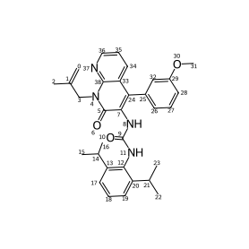 C=C(C)Cn1c(=O)c(NC(=O)Nc2c(C(C)C)cccc2C(C)C)c(-c2cccc(OC)c2)c2cccnc21